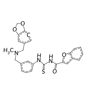 CN(Cc1cccc(NC(=S)NC(=O)c2cc3ccccc3o2)c1)Cc1ccc2c(c1)OCO2